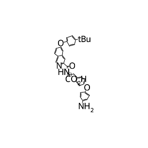 CC(C)(C)c1ccc(Oc2ccc3cnc(C(=O)N[C@@H](Cc4ccc(Oc5ccc(N)cc5)cc4)C(=O)O)cc3c2)cc1